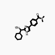 CN(C)C(=O)c1ccc(-c2c[nH]c(C(C3CCCCC3)C(C)(C)C)n2)cc1